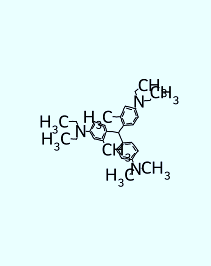 CCN(CC)c1ccc(C(c2ccc(N(C)C)cc2)c2ccc(N(CC)CC)cc2C)c(C)c1